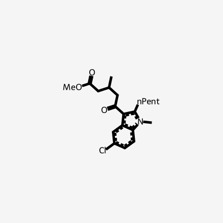 CCCCCc1c(C(=O)CC(C)CC(=O)OC)c2cc(Cl)ccc2n1C